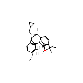 COc1ccc2c3c1O[C@H]1[C@@]4(OC)C=C[C@@]5(C[C@@H]4[C@](C)(O)C(C)(C)C)[C@@H](C2)N(CC2CC2)CC[C@]315